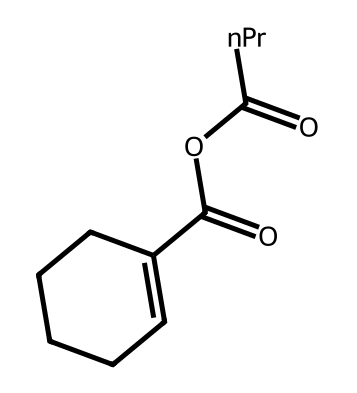 CCCC(=O)OC(=O)C1=CCCCC1